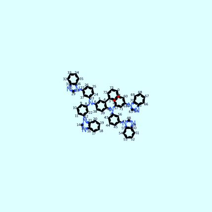 c1ccc(-c2cc(N(c3cccc(-n4cnc5ccccc54)c3)c3cccc(-n4cnc5ccccc54)c3)ccc2N(c2cccc(-n3cnc4ccccc43)c2)c2cccc(-n3cnc4ccccc43)c2)cc1